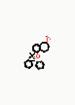 COC1CCCc2c(cccc2O[Si](c2ccccc2)(c2ccccc2)C(C)(C)C)C1